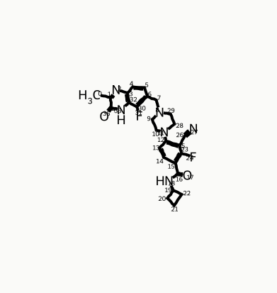 Cc1nc2ccc(CN3CCN(c4ccc(C(=O)NC5CCC5)c(F)c4C#N)CC3)c(F)c2[nH]c1=O